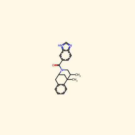 CC1CN(C(=O)c2ccc3nc[nH]c3c2)C2Cc3ccccc3C1(C)C2